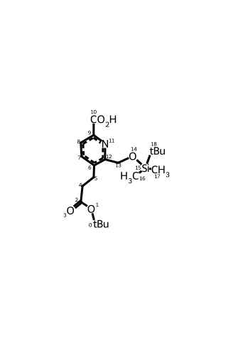 CC(C)(C)OC(=O)CCc1ccc(C(=O)O)nc1CO[Si](C)(C)C(C)(C)C